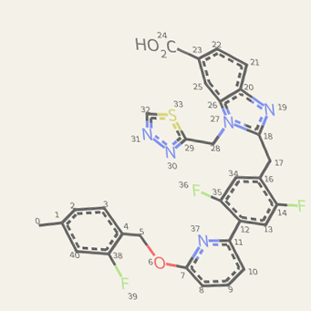 Cc1ccc(COc2cccc(-c3cc(F)c(Cc4nc5ccc(C(=O)O)cc5n4Cc4nncs4)cc3F)n2)c(F)c1